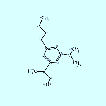 [CH2]C(CO)c1cc(CCCC)cc(C(C)C)c1